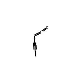 CC#CC=C=O